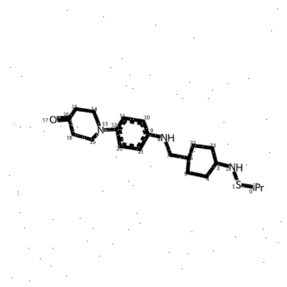 CC(C)SNC1CCC(CNc2ccc(N3CCC(=O)CC3)cc2)CC1